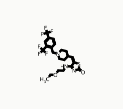 CCOCCNC1=NC(=O)SC1=CC1CCN(Cc2ccc(C(F)(F)F)cc2C(F)(F)F)CC1